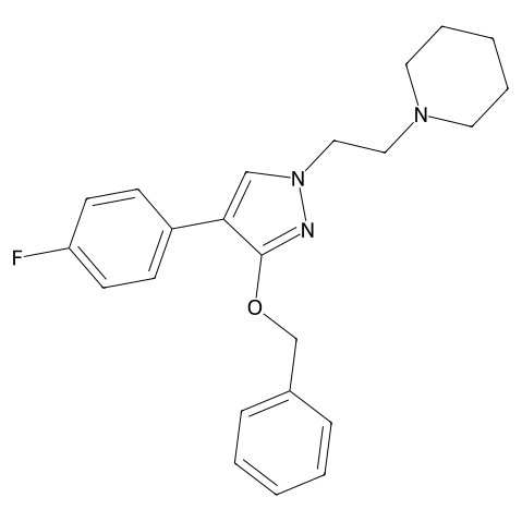 Fc1ccc(-c2cn(CCN3CCCCC3)nc2OCc2ccccc2)cc1